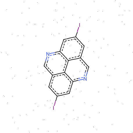 Ic1cc2cnc3cc(I)cc4cnc(c1)c2c43